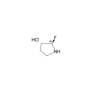 Cl.F[C@@H]1CCCN1